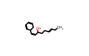 CCC=CCCC(O)/C=C\C1C=CC=CC1